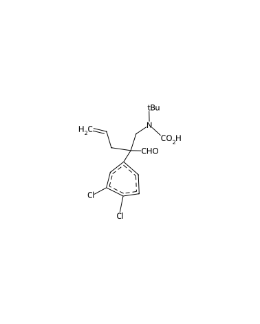 C=CCC(C=O)(CN(C(=O)O)C(C)(C)C)c1ccc(Cl)c(Cl)c1